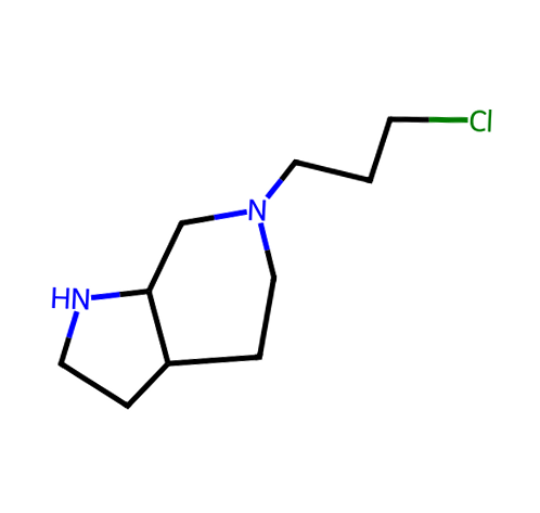 ClCCCN1CCC2CCNC2C1